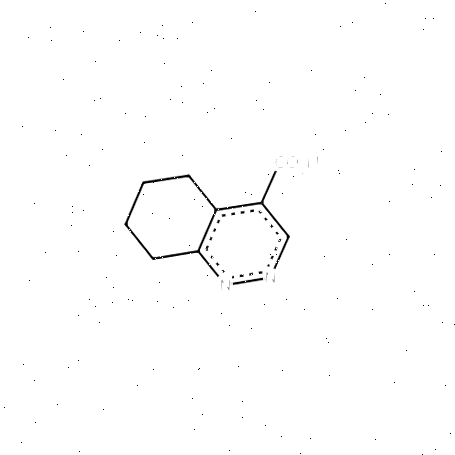 O=C(O)c1cnnc2c1CCCC2